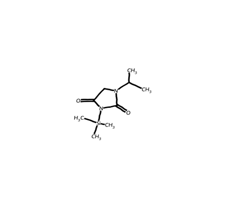 CC(C)N1CC(=O)N([Si](C)(C)C)C1=O